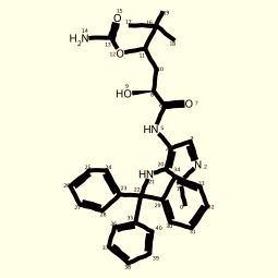 Cn1ncc(NC(=O)[C@@H](O)CC(OC(N)=O)C(C)(C)C)c1NC(c1ccccc1)(c1ccccc1)c1ccccc1